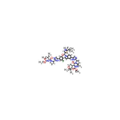 COC(=O)NC(C(=O)N1CCC[C@H]1c1ncc(-c2cc(F)c3c(c2)OC(c2cnc(C(C)(C)C)s2)n2c-3cc3cc(-c4cnc([C@@H]5CC[C@H](C)N5C(=O)C(NC(=O)OC)C5CCOC(C)(C)C5)[nH]4)ccc32)[nH]1)C(C)C